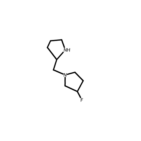 FC1CCN(CC2CCCN2)C1